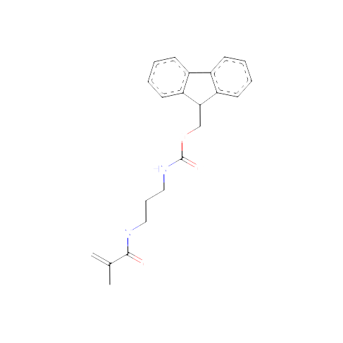 C=C(C)C(=O)NCCCNC(=O)OCC1c2ccccc2-c2ccccc21